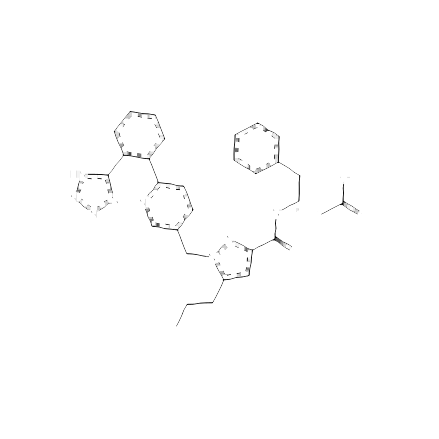 CCCc1cc(C(=O)N[C@@H](CC(=O)O)Cc2ccccc2)nn1Cc1ccc(-c2ccccc2-c2nnn[nH]2)nc1